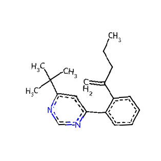 C=C(CCC)c1ccccc1-c1cc(C(C)(C)C)ncn1